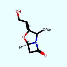 COC1/C(=C/CO)O[C@@H]2CC(=O)N12